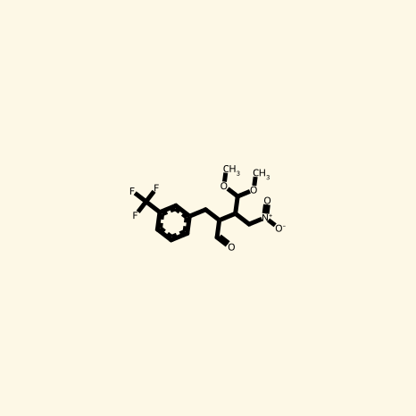 COC(OC)C(C[N+](=O)[O-])C(C=O)Cc1cccc(C(F)(F)F)c1